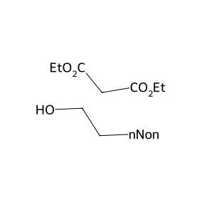 CCCCCCCCCCCO.CCOC(=O)CC(=O)OCC